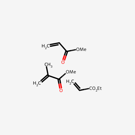 C=C(C)C(=O)OC.C=CC(=O)OC.C=CC(=O)OCC